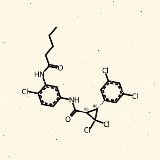 CCCCC(=O)Nc1cc(NC(=O)[C@H]2[C@H](c3cc(Cl)cc(Cl)c3)C2(Cl)Cl)ccc1Cl